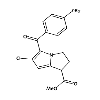 CCCCc1ccc(C(=O)c2c(Cl)cc3n2CCC3C(=O)OC)cc1